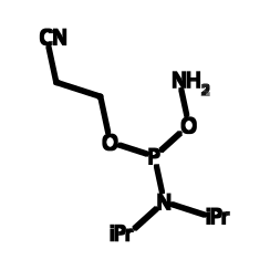 CC(C)N(C(C)C)P(ON)OCCC#N